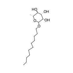 CCCCCCCCCCCOC1O[C@H](C)[C@@H](O)[C@H](O)[C@@H]1O